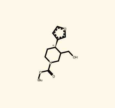 CC(C)(C)OC(=O)N1CC[C@@H](c2ccoc2)C(CO)C1